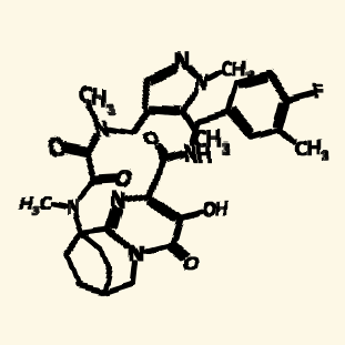 Cc1cc(CNC(=O)c2nc3n(c(=O)c2O)CC2CCC3(N(C)C(=O)C(=O)N(C)Cc3cnn(C)c3C)CC2)ccc1F